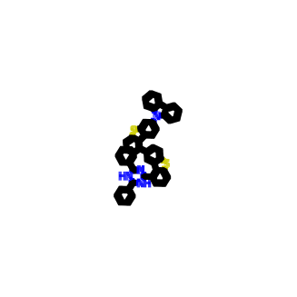 c1ccc(C2=NC(c3cccc4sc5ccc(-c6cccc7sc8cc(-n9c%10ccccc%10c%10ccccc%109)ccc8c67)cc5c34)NC(c3ccccc3)N2)cc1